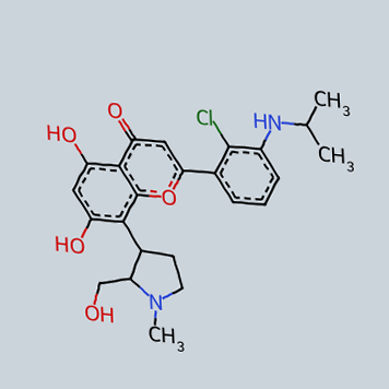 CC(C)Nc1cccc(-c2cc(=O)c3c(O)cc(O)c(C4CCN(C)C4CO)c3o2)c1Cl